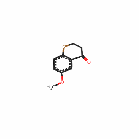 COc1ccc2c(c1)C(=O)CCS2